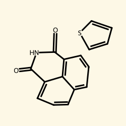 O=C1NC(=O)c2cccc3cccc1c23.c1ccsc1